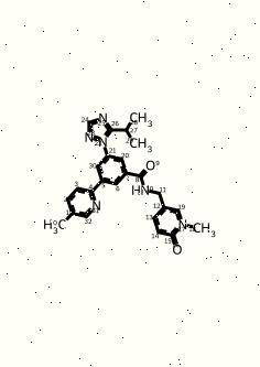 Cc1ccc(-c2cc(C(=O)NCc3ccc(=O)n(C)c3)cc(-n3ncnc3C(C)C)c2)nc1